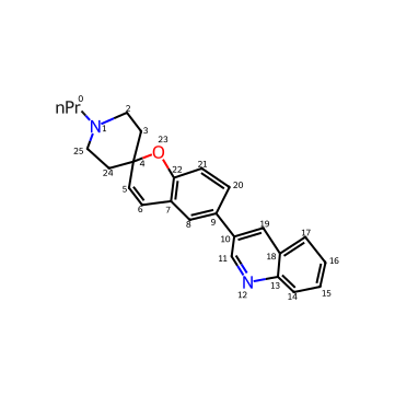 CCCN1CCC2(C=Cc3cc(-c4cnc5ccccc5c4)ccc3O2)CC1